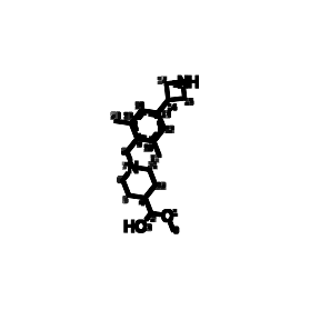 COC(O)C1CCN(Cc2c(C)cc(C3CNC3)cc2C)CC1